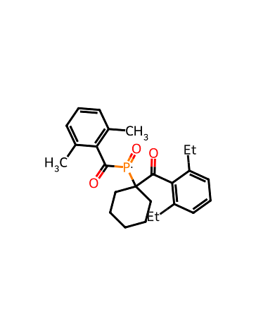 CCc1cccc(CC)c1C(=O)C1([P](=O)C(=O)c2c(C)cccc2C)CCCCC1